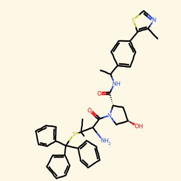 Cc1ncsc1-c1ccc(C(C)NC(=O)[C@@H]2C[C@@H](O)CN2C(=O)C(N)C(C)(C)SC(c2ccccc2)(c2ccccc2)c2ccccc2)cc1